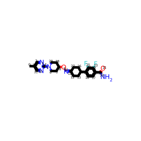 Cc1cnc(N2CCC(ON=C3CCC(c4ccc(C(N)=O)c(F)c4F)CC3)CC2)nc1